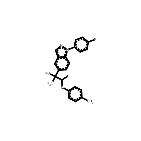 Cc1ccc(OC(F)C(C)(O)c2ccc3c(cnn3-c3ccc(F)cc3)c2)cc1